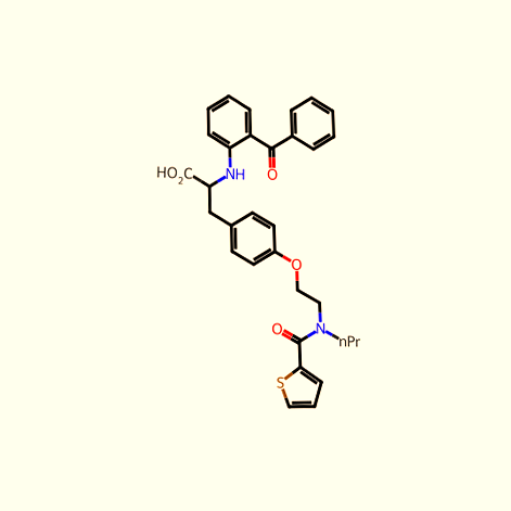 CCCN(CCOc1ccc(CC(Nc2ccccc2C(=O)c2ccccc2)C(=O)O)cc1)C(=O)c1cccs1